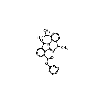 CC(C)c1cccc(C(C)C)c1N1C(=O)c2cccc(C(=O)Oc3cccnc3)c2C1=O